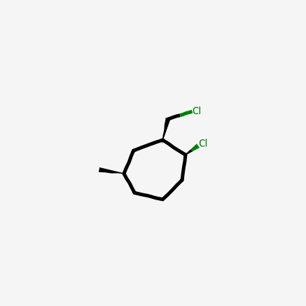 C[C@@H]1CCC[C@H](Cl)[C@H](CCl)C1